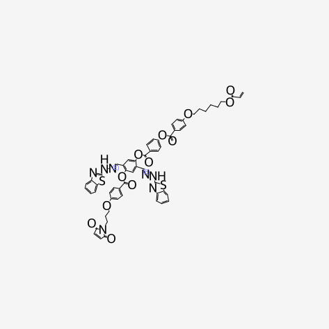 C=CC(=O)OCCCCCCOc1ccc(C(=O)Oc2ccc(C(=O)Oc3cc(/C=N/Nc4nc5ccccc5s4)c(OC(=O)c4ccc(OCCCN5C(=O)C=CC5=O)cc4)cc3/C=N/Nc3nc4ccccc4s3)cc2)cc1